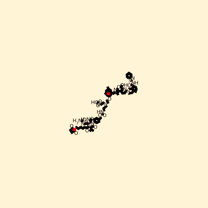 Cc1c(-c2ccc(N3CCc4cccc(C(=O)Nc5nc6ccccc6s5)c4C3)nc2C(=O)O)cnn1CC12CC3(C)CC(C)(C1)CC(OCCN(CCCNC(=O)OCc1ccc(N(C(=O)[C@@H](NC(=O)CCCCCN4C(=O)C=CC4=O)C(C)C)[C@@H](CCCNC(N)=O)C(N)=O)cc1)CCS(=O)(=O)O)(C3)C2